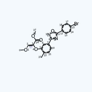 CO/C=C(\Oc1cc(-c2noc(-c3ccc(Br)cc3)n2)ccc1C)C(=O)OC